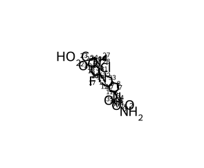 NC(=O)[C@H]1CN(c2ccc3c(c2)CCN(c2c(F)cc4c(=O)c(C(=O)O)cn(C5CC5)c4c2Cl)CC3)C(=O)O1